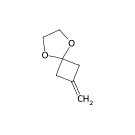 C=C1CC2(C1)OCCO2